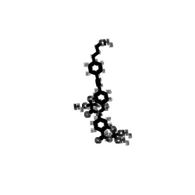 CCCCc1ccc(C#Cc2ccc(CN(C(=O)C(C)(C)C)c3ccc4c(c3)OC(C)(C)OC4=O)cc2)cc1